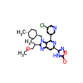 COCC(C)c1nc2cc(-c3noc(=O)[nH]3)nc(-c3cncc(Cl)c3)c2n1C[C@H]1CC[C@H](C)CC1